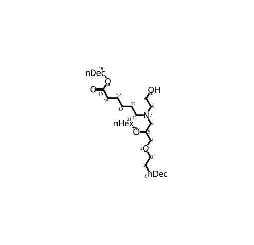 CCCCCCCCCCCCOCC(CN(CCO)CCCCCC(=O)OCCCCCCCCCC)OCCCCCC